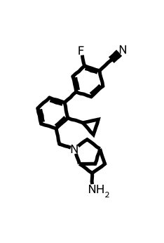 N#Cc1ccc(-c2cccc(CN3CC4CC(N)C3C4)c2C2CC2)cc1F